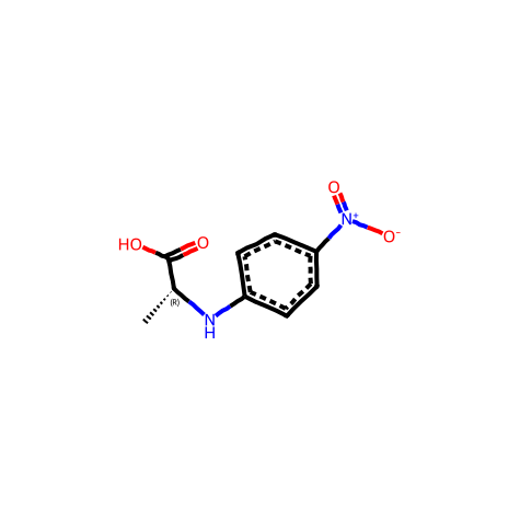 C[C@@H](Nc1ccc([N+](=O)[O-])cc1)C(=O)O